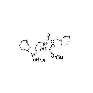 CCCCCCn1cc(C[C@H](NC(=O)OC(C)(C)C)C(=O)OCc2ccccc2)c2ccccc21